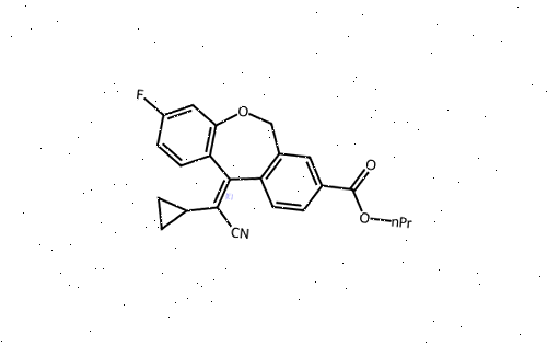 CCCOC(=O)c1ccc2c(c1)COc1cc(F)ccc1/C2=C(/C#N)C1CC1